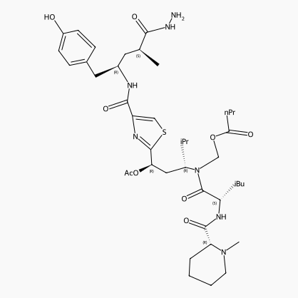 CCCC(=O)OCN(C(=O)[C@@H](NC(=O)[C@H]1CCCCN1C)C(C)CC)[C@H](C[C@@H](OC(C)=O)c1nc(C(=O)N[C@@H](Cc2ccc(O)cc2)C[C@H](C)C(=O)NN)cs1)C(C)C